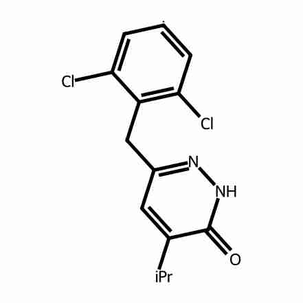 CC(C)c1cc(Cc2c(Cl)c[c]cc2Cl)n[nH]c1=O